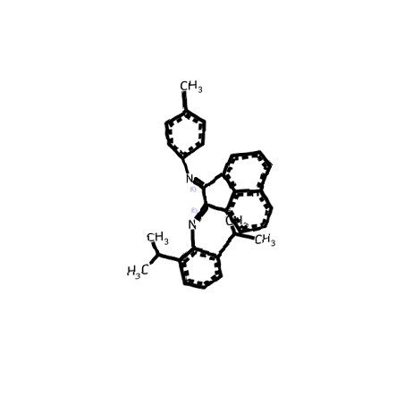 Cc1ccc(/N=C2/C(=N/c3c(C(C)C)cccc3C(C)C)c3cccc4cccc2c34)cc1